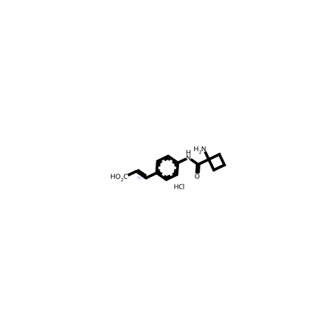 Cl.NC1(C(=O)Nc2ccc(/C=C/C(=O)O)cc2)CCC1